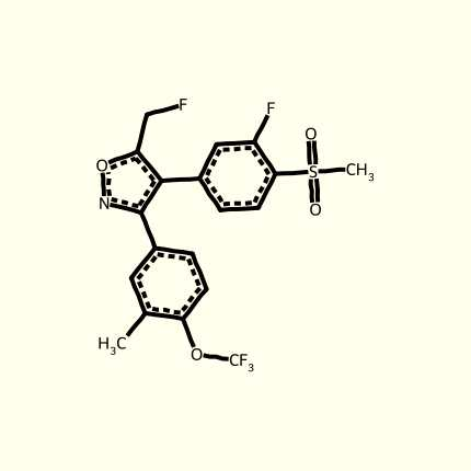 Cc1cc(-c2noc(CF)c2-c2ccc(S(C)(=O)=O)c(F)c2)ccc1OC(F)(F)F